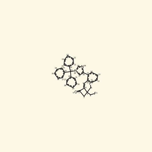 O=C1CC(CF)(CF)C1=Cc1ccccc1-c1cn(C(c2ccccc2)(c2ccccc2)c2ccccc2)cn1